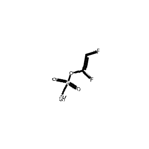 O=S(=O)(O)OC(F)=CF